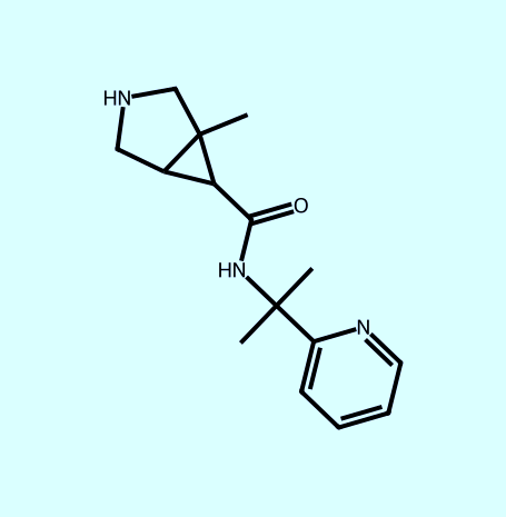 CC(C)(NC(=O)C1C2CNCC21C)c1ccccn1